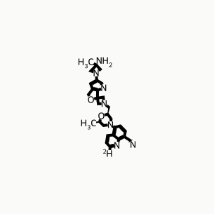 [2H]c1ccc2c(N3C[C@H](CN4CC5(C4)OCc4cc(N6CC(C)(N)C6)cnc45)O[C@H](C)C3)ccc(C#N)c2n1